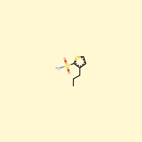 CCCc1ccsc1S(N)(=O)=O